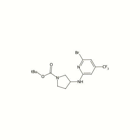 CC(C)(C)OC(=O)N1CCC(Nc2cc(C(F)(F)F)cc(Br)n2)C1